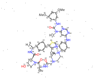 COc1cc(NC(=O)N(C)c2cc(Nc3ccc(N4CCN(CC(=O)N[C@H](C(=O)N5C[C@H](O)C[C@H]5C(=O)N[C@@H](C)c5ccc(-c6scnc6C)cc5)C(C)(C)C)CC4)cc3)ncn2)cc(OC)c1